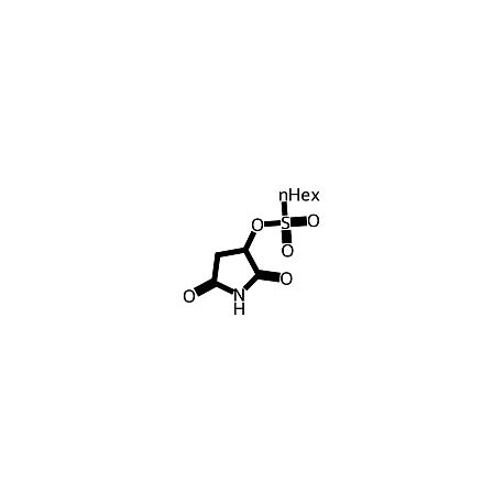 CCCCCCS(=O)(=O)OC1CC(=O)NC1=O